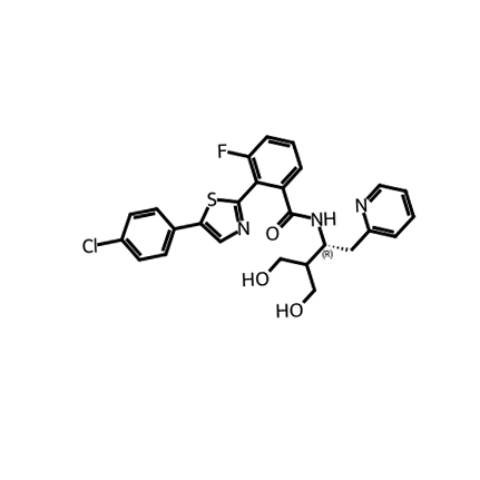 O=C(N[C@H](Cc1ccccn1)C(CO)CO)c1cccc(F)c1-c1ncc(-c2ccc(Cl)cc2)s1